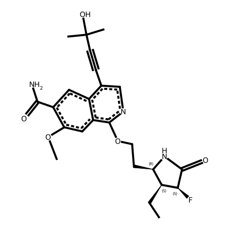 CC[C@@H]1[C@H](F)C(=O)N[C@@H]1CCOc1ncc(C#CC(C)(C)O)c2cc(C(N)=O)c(OC)cc12